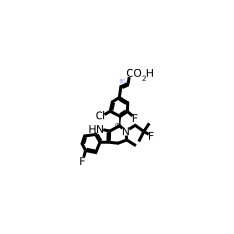 CC1Cc2c([nH]c3ccc(F)cc23)[C@@H](c2c(F)cc(/C=C/C(=O)O)cc2Cl)N1CC(C)(C)F